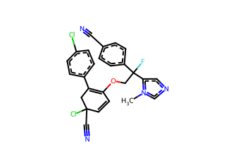 Cn1cncc1C(F)(COC1=C(c2ccc(Cl)cc2)CC(Cl)(C#N)C=C1)c1ccc(C#N)cc1